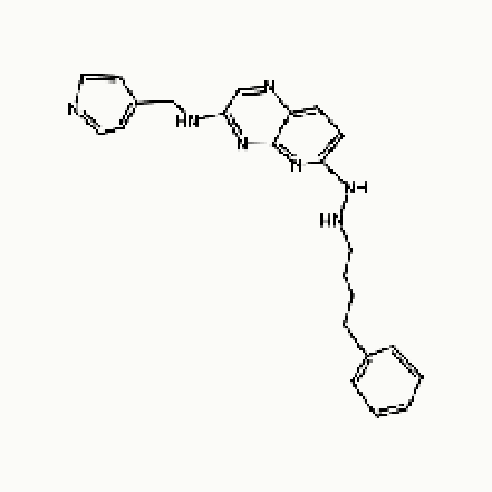 c1ccc(CCCCNNc2ccc3ncc(NCc4ccncc4)nc3n2)cc1